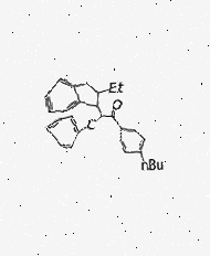 CCCCc1ccc(C(=O)C(Cc2ccccc2)C2c3ccccc3CC2CC)cc1